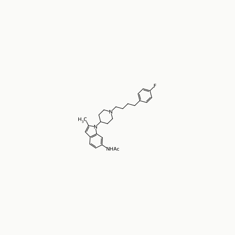 CC(=O)Nc1ccc2cc(C)n(C3CCN(CCCCc4ccc(F)cc4)CC3)c2c1